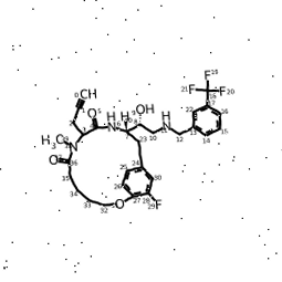 C#CCC1C(=O)N[C@H]([C@H](O)CNCc2cccc(C(F)(F)F)c2)Cc2ccc(c(F)c2)OCCCCC(=O)N1C